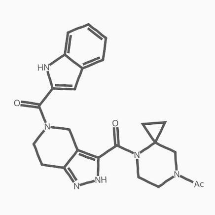 CC(=O)N1CCN(C(=O)c2[nH]nc3c2CN(C(=O)c2cc4ccccc4[nH]2)CC3)C2(CC2)C1